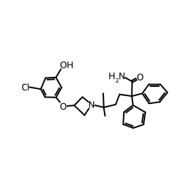 CC(C)(CCC(C(N)=O)(c1ccccc1)c1ccccc1)N1CC(Oc2cc(O)cc(Cl)c2)C1